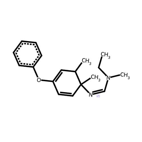 CCN(C)/C=N\C1(C)C=CC(Oc2ccccc2)=CC1C